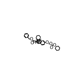 O=C(OCOc1ccc2c(c1)[C@@]13CCCC[C@H]1[C@@H](C2)N(C(=O)OCc1ccccc1)CC3)OC1CCCCC1